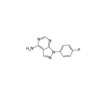 Nc1ncnc2c1cnn2-c1ccc(F)cc1